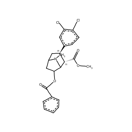 COC(=O)[C@@H]1C2C(OC(=O)c3ccccc3)CC(C[C@H]1c1ccc(Cl)c(Cl)c1)N2C